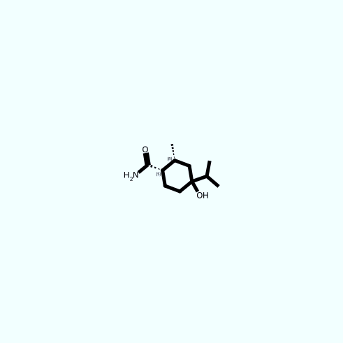 CC(C)C1(O)CC[C@H](C(N)=O)[C@H](C)C1